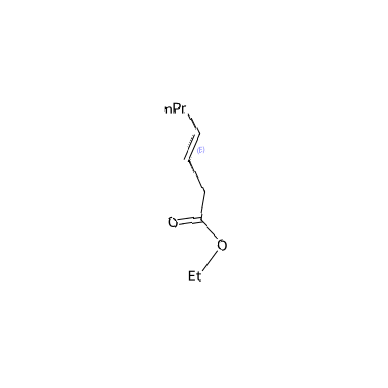 CCC/C=C/CC(=O)OCC